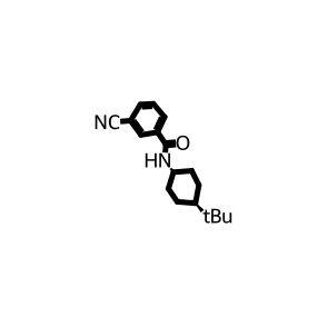 CC(C)(C)[C@H]1CC[C@H](NC(=O)c2cccc(C#N)c2)CC1